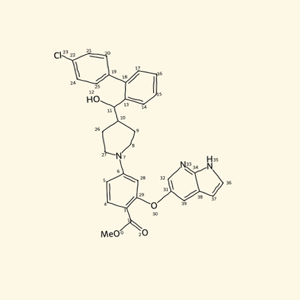 COC(=O)c1ccc(N2CCC(C(O)c3ccccc3-c3ccc(Cl)cc3)CC2)cc1Oc1cnc2[nH]ccc2c1